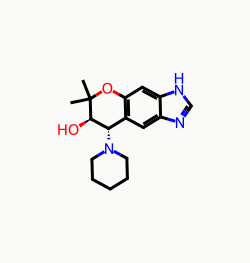 CC1(C)Oc2cc3[nH]cnc3cc2[C@H](N2CCCCC2)[C@H]1O